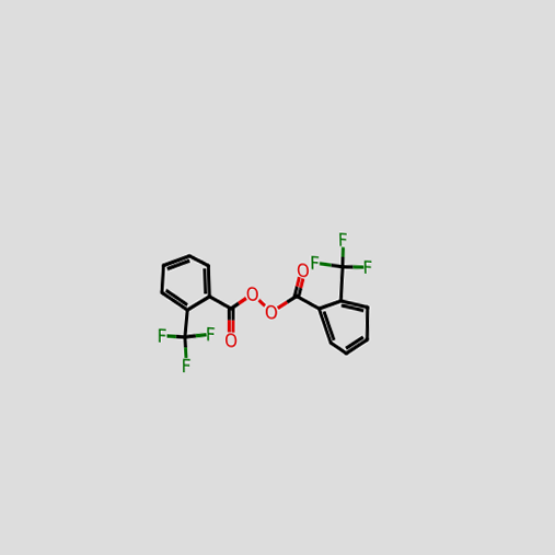 O=C(OOC(=O)c1ccccc1C(F)(F)F)c1ccccc1C(F)(F)F